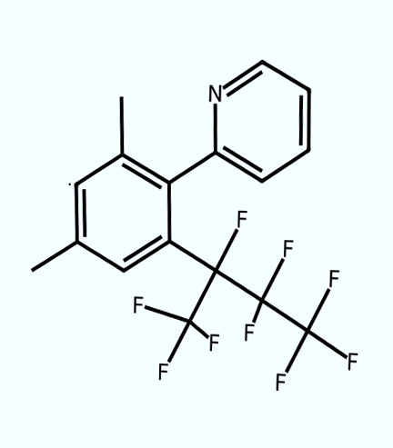 Cc1[c]c(C)c(-c2ccccn2)c(C(F)(C(F)(F)F)C(F)(F)C(F)(F)F)c1